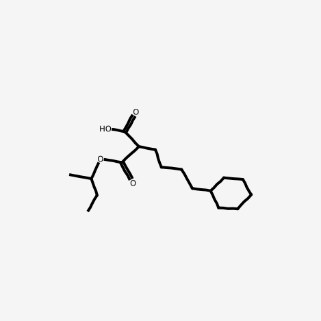 CCC(C)OC(=O)C(CCCCC1CCCCC1)C(=O)O